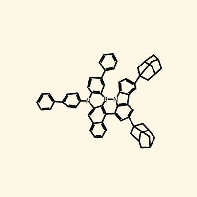 c1ccc(-c2ccc(N3c4ccc(-c5ccccc5)cc4B4c5c3cc3ccccc3c5-c3cc(C56CC7CC(CC(C7)C5)C6)cc5c6cc(C78CC9CC(CC(C9)C7)C8)ccc6n4c35)cc2)cc1